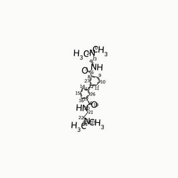 CN(C)CCNC(=O)c1cc[c]c(-c2cccc(C(=O)NCCN(C)C)c2)c1